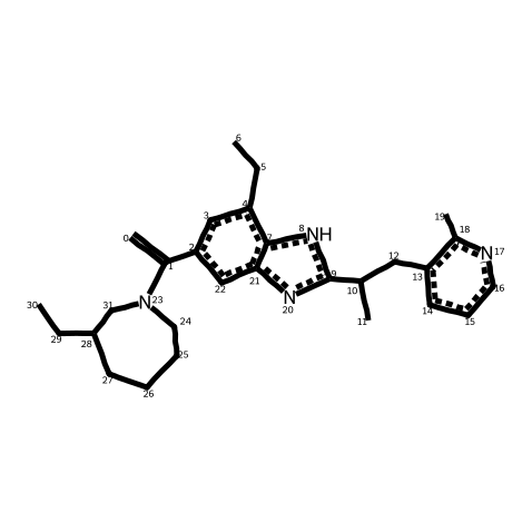 C=C(c1cc(CC)c2[nH]c(C(C)Cc3cccnc3C)nc2c1)N1CCCCC(CC)C1